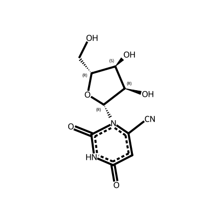 N#Cc1cc(=O)[nH]c(=O)n1[C@@H]1O[C@H](CO)[C@@H](O)[C@H]1O